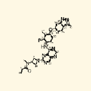 C=CC(=O)N(C)C1CN(c2ncc3ncnc(Nc4ccc(Oc5ccc6c(c5)nnn6C)c(C)c4F)c3n2)C1